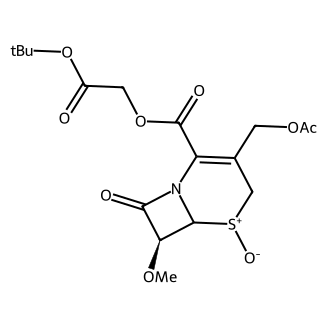 CO[C@H]1C(=O)N2C(C(=O)OCC(=O)OC(C)(C)C)=C(COC(C)=O)C[S+]([O-])C12